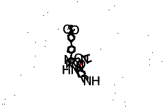 CCN(CC)C(=O)Oc1c(-c2ccc(-c3ccc(S(C)(=O)=O)cc3)cc2)nn(C)c1-c1nc2cc3c(cc2[nH]1)CNC3